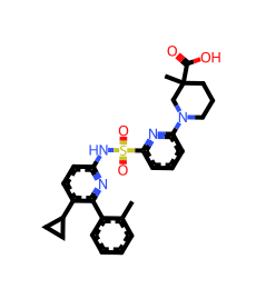 Cc1ccccc1-c1nc(NS(=O)(=O)c2cccc(N3CCCC(C)(C(=O)O)C3)n2)ccc1C1CC1